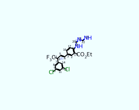 CCOC(=O)c1cc(/C=C/C(c2cc(Cl)cc(Cl)c2)C(F)(F)F)ccc1N/C=N\C=N